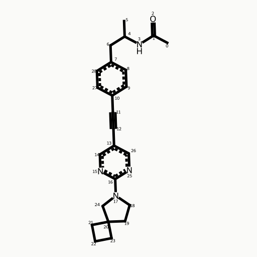 CC(=O)NC(C)Cc1ccc(C#Cc2cnc(N3CCC4(CCC4)C3)nc2)cc1